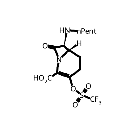 CCCCCN[C@@H]1C(=O)N2C(C(=O)O)=C(OS(=O)(=O)C(F)(F)F)CC[C@@H]12